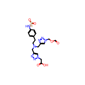 O=COCn1cc(CN(CCc2ccc(N[SH](=O)=O)cc2)Cc2cn(CC(=O)O)nn2)nn1